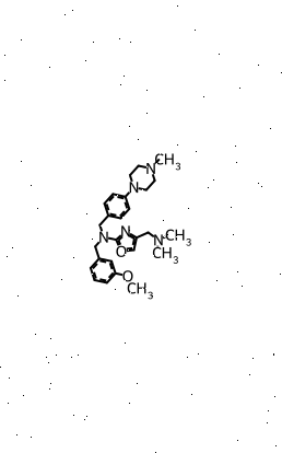 COc1cccc(CN(Cc2ccc(N3CCN(C)CC3)cc2)c2nc(CN(C)C)co2)c1